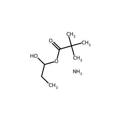 CCC(O)OC(=O)C(C)(C)C.N